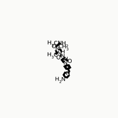 CC1CN(C(=O)C(C)(C)N)CCN1C(=O)Nc1ccn(-c2ccc(CN3CCC(N)CC3)cc2)c(=O)n1